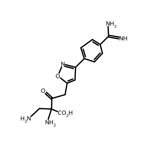 N=C(N)c1ccc(-c2cc(CC(=O)C(N)(CN)C(=O)O)on2)cc1